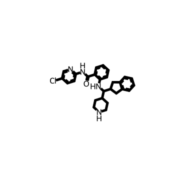 O=C(Nc1ccc(Cl)cn1)c1ccccc1NC(C1CCNCC1)C1Cc2ccccc2C1